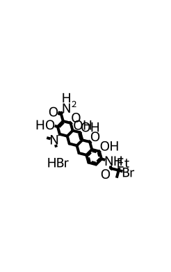 Br.CCC(C)(Br)C(=O)Nc1ccc2c(c1O)C(=O)C1=C(O)C3(O)C(=O)C(C(N)=O)=C(O)[C@@H](N(C)C)C3CC1C2